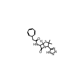 CC1(C)S[C@H]2C(NC(=O)CC3C=CC=CC=C3)C(=O)N2C1c1nnn[nH]1